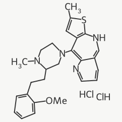 COc1ccccc1CCC1CN(C2=c3ncccc3=CNc3sc(C)cc32)CCN1C.Cl.Cl